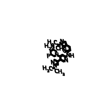 CC(C)n1cc(-c2cnc(Nc3ccc4cnn(C(C)C)c4n3)cc2N2C[C@@H](N)C[C@@H](F)C2)cn1